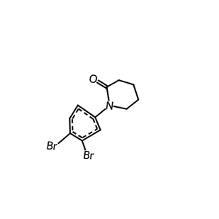 O=C1CCCCN1c1ccc(Br)c(Br)c1